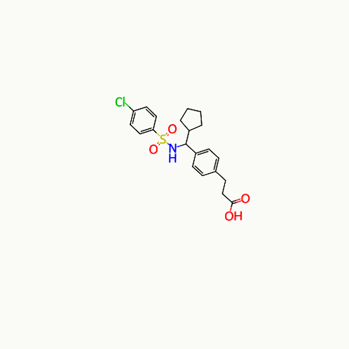 O=C(O)CCc1ccc(C(NS(=O)(=O)c2ccc(Cl)cc2)C2CCCC2)cc1